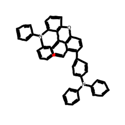 c1ccc(N(c2ccccc2)c2ccc(-c3ccc4c5c(cccc35)-c3c(cccc3N(c3ccccc3)c3ccccc3)O4)cc2)cc1